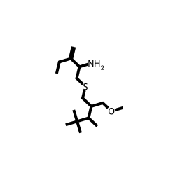 C=C(CC)C(N)CSCC(COC)C(C)C(C)(C)C